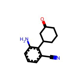 N#Cc1cccc(N)c1C1CCCC(=O)C1